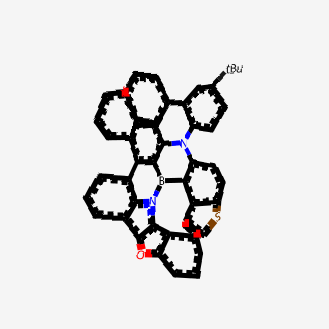 CC(C)(C)c1ccc(N2c3cc4ccccc4c4c3B(c3c2ccc2sc5ccccc5c32)n2c3c-4cccc3c3oc4ccccc4c32)c(-c2ccccc2)c1